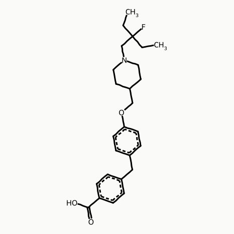 CCC(F)(CC)CN1CCC(COc2ccc(Cc3ccc(C(=O)O)cc3)cc2)CC1